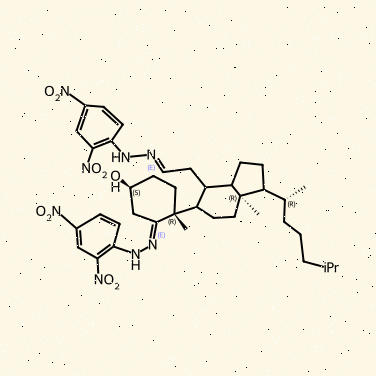 CC(C)CCC[C@@H](C)C1CCC2C(C/C=N/Nc3ccc([N+](=O)[O-])cc3[N+](=O)[O-])C([C@@]3(C)CC[C@H](O)C/C3=N\Nc3ccc([N+](=O)[O-])cc3[N+](=O)[O-])CC[C@@]21C